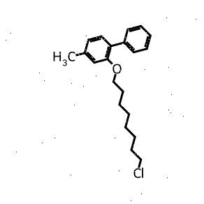 Cc1ccc(-c2ccccc2)c(OCCCCCCCCCl)c1